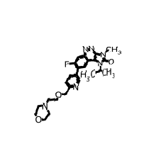 CC(C)n1c(=O)n(C)c2nnc3cc(F)c(-c4ccc(COCCN5CCOCC5)nc4)cc3c21